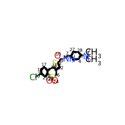 CN(C)c1ccc(CNC(=O)c2cc3c(s2)-c2ccc(Cl)cc2S(=O)(=O)C3)cc1